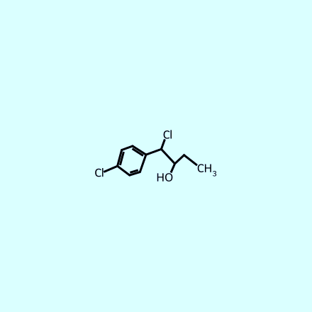 CCC(O)C(Cl)c1ccc(Cl)cc1